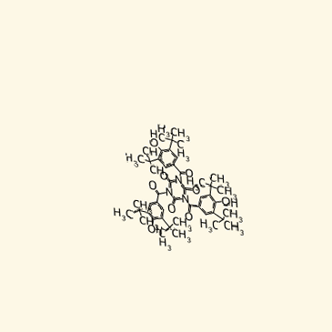 CC(C)(C)c1cc(C(=O)n2c(=O)n(C(=O)c3cc(C(C)(C)C)c(O)c(C(C)(C)C)c3)c(=O)n(C(=O)c3cc(C(C)(C)C)c(O)c(C(C)(C)C)c3)c2=O)cc(C(C)(C)C)c1O